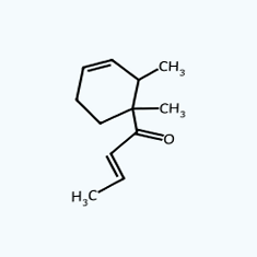 CC=CC(=O)C1(C)CCC=CC1C